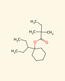 CCC(CC)C1(OC(=O)C(C)(C)CC)CCCCC1